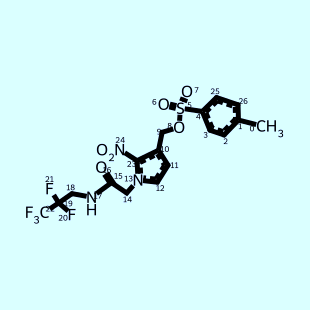 Cc1ccc(S(=O)(=O)OCc2ccn(CC(=O)NCC(F)(F)C(F)(F)F)c2[N+](=O)[O-])cc1